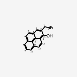 CC(C)Cc1cc2ccc3cccc4ccc(c1O)c2c34